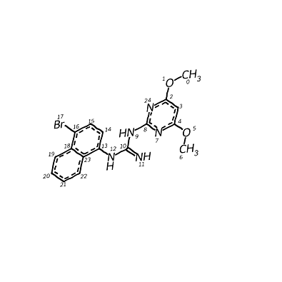 COc1cc(OC)nc(NC(=N)Nc2ccc(Br)c3ccccc23)n1